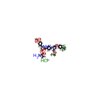 CCS(=O)(=O)c1ccc([C@H](CCOC(=O)[C@@H](N)C(C)C)NC(=O)c2ccc(N3C[C@@H](Oc4ccc(C(F)(F)F)cc4)C[C@H]3COC(F)F)cc2)cc1.Cl